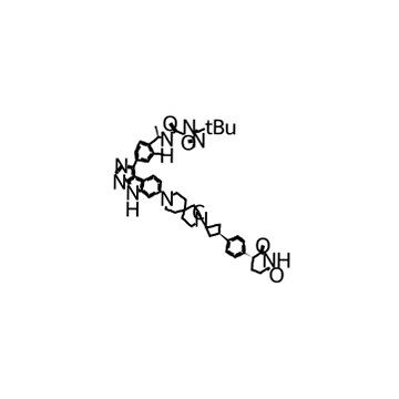 Cc1cc(-c2ncnc3[nH]c4cc(N5CCC6(CC5)CCN([C@H]5C[C@H](c7ccc([C@H]8CCC(=O)NC8=O)cc7)C5)CC6)ccc4c23)ccc1[C@@H](C)NC(=O)c1nc(C(C)(C)C)no1